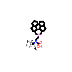 CC(C)(C)N(CCP1Cc2ccc3ccccc3c2-c2c(ccc3ccccc23)C1)C(=O)O